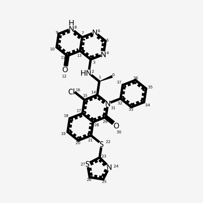 C[C@H](Nc1ncnc2[nH]ccc(=O)c12)c1c(Cl)c2cccc(Sc3nccs3)c2c(=O)n1-c1ccccc1